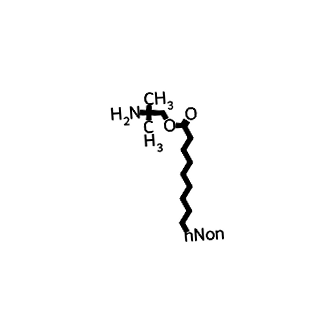 CCCCCCCCCCCCCCCCCC(=O)OCC(C)(C)N